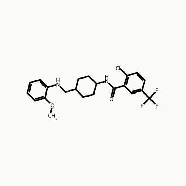 COc1ccccc1NCC1CCC(NC(=O)c2cc(C(F)(F)F)ccc2Cl)CC1